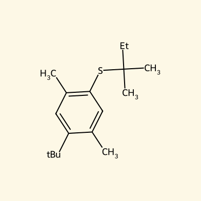 CCC(C)(C)Sc1cc(C)c(C(C)(C)C)cc1C